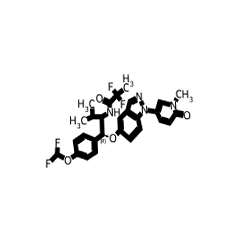 CC(C)C(NC(=O)C(C)(F)F)[C@H](Oc1ccc2c(cnn2-c2ccc(=O)n(C)c2)c1)c1ccc(OC(F)F)cc1